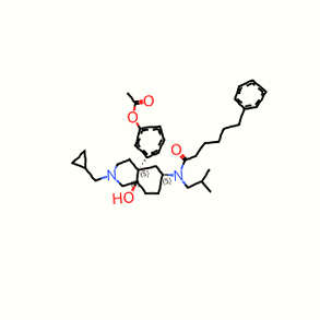 CC(=O)Oc1cccc([C@@]23CCN(CC4CC4)C[C@@]2(O)CC[C@H](N(CC(C)C)C(=O)CCCCCc2ccccc2)C3)c1